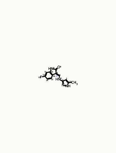 Cc1cc(N/C=C2/C(=O)Nc3cc(F)ccc32)n[nH]1